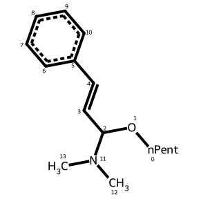 CCCCCOC(C=Cc1ccccc1)N(C)C